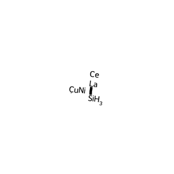 [Ce].[Cu].[Ni].[SiH3][La]